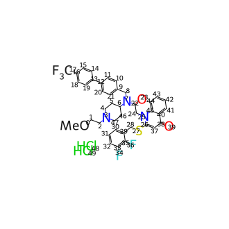 COCCN1CCC(N(Cc2ccc(-c3ccc(C(F)(F)F)cc3)cc2)C(=O)Cn2c(SCc3cccc(F)c3F)cc(=O)c3ccccc32)CC1.Cl.Cl